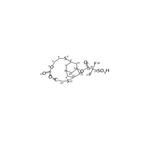 O=C1OCCSC2CC3CC(CC(OC(=O)C(F)(F)S(=O)(=O)O)(C3)C2)SCCO1